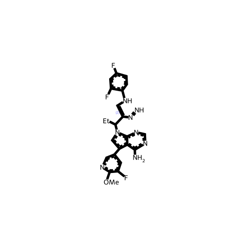 CCC(/C(=C/Nc1ccc(F)cc1F)N=N)n1cc(-c2cnc(OC)c(F)c2)c2c(N)ncnc21